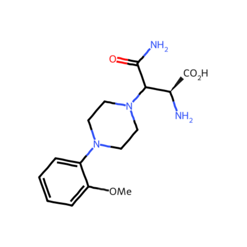 COc1ccccc1N1CCN(C(C(N)=O)[C@H](N)C(=O)O)CC1